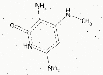 CNc1cc(N)[nH]c(=O)c1N